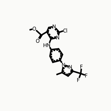 COC(=O)c1cnc(Cl)nc1Nc1ccc(-n2nc(C(F)(F)F)cc2C)cc1